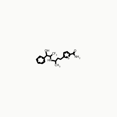 CC(CCc1ccc(C(N)=O)s1)NC(C(O)c1ccccc1)C(F)(F)F